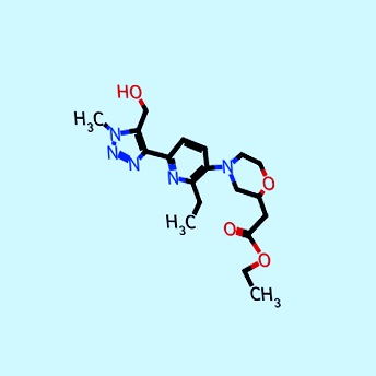 CCOC(=O)CC1CN(c2ccc(-c3nnn(C)c3CO)nc2CC)CCO1